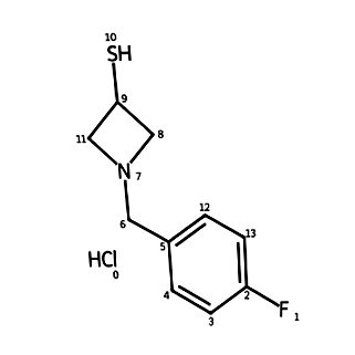 Cl.Fc1ccc(CN2CC(S)C2)cc1